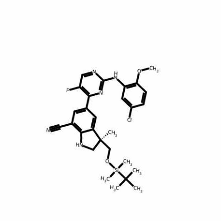 COc1ccc(Cl)cc1Nc1ncc(F)c(-c2cc(C#N)c3c(c2)[C@@](C)(CO[Si](C)(C)C(C)(C)C)CN3)n1